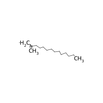 [CH2][C@H](C)CCCCCCCCCCCC